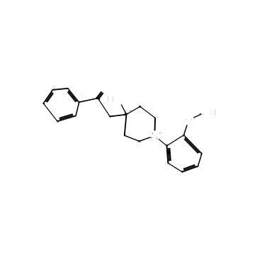 COc1ccccc1N1CCC(O)(CC(=O)c2ccccc2)CC1